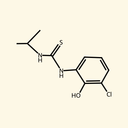 CC(C)NC(=S)Nc1cccc(Cl)c1O